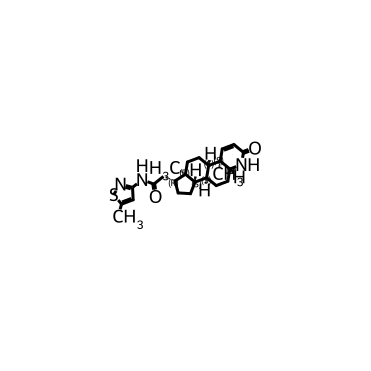 Cc1cc(NC(=O)C[C@H]2CC[C@H]3[C@@H]4CC[C@H]5NC(=O)C=C[C@]5(C)[C@H]4CC[C@]23C)ns1